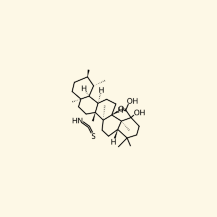 C[C@@H]1[C@H]2[C@H]3CC[C@@H]4[C@]5(C)[C@@H](CC[C@@]4(C)[C@]3(C)CC[C@@]2(C)CC[C@H]1C)C(C)(C)CCC5(O)C(=O)O.N=C=S